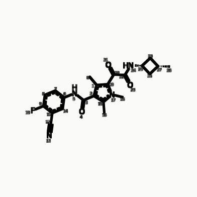 Cc1c(C(=O)Nc2ccc(F)c(C#N)c2)c(C)n(C)c1C(=O)C(=O)N[C@H]1C[C@@H](C)C1